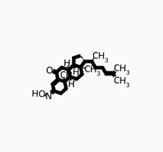 CC(C)=CCC[C@@H](C)[C@H]1CC[C@H]2[C@@H]3CC(=O)C4=CC(=NO)CC[C@]4(C)[C@H]3CC[C@]12C